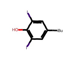 CCC(C)c1cc(I)c(O)c(I)c1